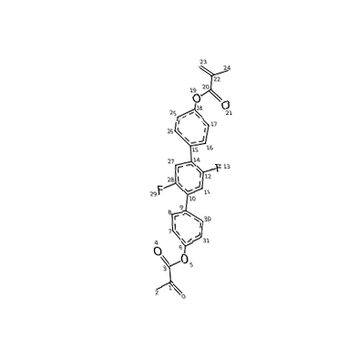 C=C(C)C(=O)Oc1ccc(-c2cc(F)c(-c3ccc(OC(=O)C(=C)C)cc3)cc2F)cc1